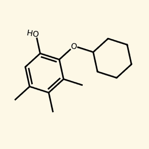 Cc1cc(O)c(OC2CCCCC2)c(C)c1C